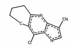 N#Cc1cnn2c(Cl)c3c(nc12)CCCC3